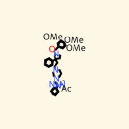 COc1cc(C(=O)N2CCC(CCN3CCCN(c4nc5ccccc5n4N(C)C(C)=O)CC3)(c3ccccc3)C2)cc(OC)c1OC